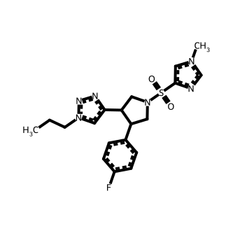 CCCn1cc(C2CN(S(=O)(=O)c3cn(C)cn3)CC2c2ccc(F)cc2)nn1